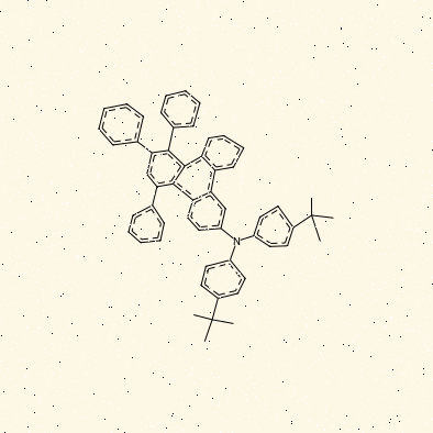 CC(C)(C)c1ccc(N(c2ccc(C(C)(C)C)cc2)c2ccc3c(c2)c2ccccc2c2c(-c4ccccc4)c(-c4ccccc4)cc(-c4ccccc4)c32)cc1